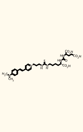 CN(C)c1ccc(/C=C/c2cc[n+](CCCNC(=S)NCCCC[C@H](NC(=O)NC(CCC(=O)O)C(=O)O)C(=O)O)cc2)cc1